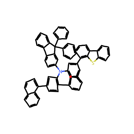 c1ccc(-c2ccc(-c3cccc4ccccc34)cc2N(c2cccc(-c3cccc4c3sc3ccccc34)c2)c2ccc3c(c2)C(c2ccccc2)(c2ccccc2)c2ccccc2-3)cc1